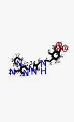 Cc1c(CCNCc2cnn(-c3cc(N4CCCC4)c(C#N)cn3)c2)ccc2c1COC2=O